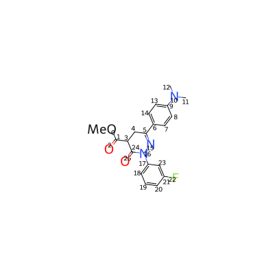 COC(=O)C1CC(c2ccc(N(C)C)cc2)=NN(c2cccc(F)c2)C1=O